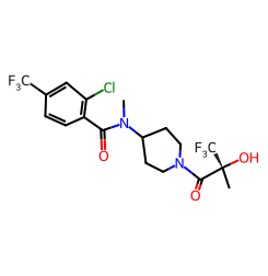 CN(C(=O)c1ccc(C(F)(F)F)cc1Cl)C1CCN(C(=O)[C@@](C)(O)C(F)(F)F)CC1